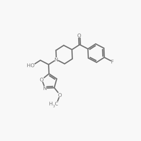 COc1cc(C(CO)N2CCC(C(=O)c3ccc(F)cc3)CC2)on1